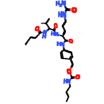 CCCCNC(=O)OCc1ccc(NC(=O)[C@H](CCCNC(N)=O)NC(=O)[C@@H](NC(=O)CCC)C(C)C)cc1